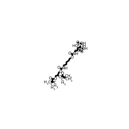 CC(C)(C)C(=O)OCC(COC(=O)NCCCCCOC(=O)NCCCC(O)(P(=O)(O)O)P(=O)(O)O)OC(=O)C(C)(C)C